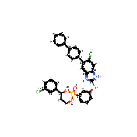 O=P1(c2cccc(Oc3nc4cc(-c5ccc(-c6ccccc6)cc5)c(Cl)cc4[nH]3)c2)OCCC(c2cccc(Cl)c2)O1